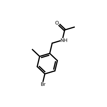 CC(=O)NCc1ccc(Br)cc1C